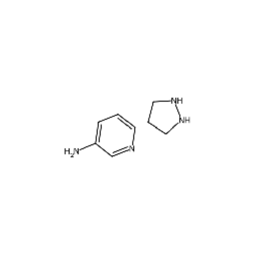 C1CNNC1.Nc1cccnc1